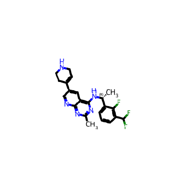 Cc1nc(N[C@H](C)c2cccc(C(F)F)c2F)c2cc(C3=CCNCC3)cnc2n1